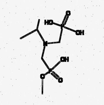 COP(=O)(O)CN(CP(=O)(O)O)C(C)C